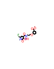 COC(=O)c1cccc(OCCCNC(=O)c2cc(CF)n(C)c(=O)c2O)c1